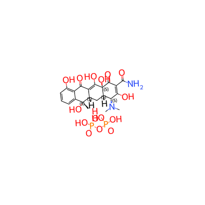 CN(C)[C@@H]1C(O)=C(C(N)=O)C(=O)[C@@]2(O)C(O)=C3C(=O)c4c(O)cccc4[C@@](C)(O)[C@H]3C[C@@H]12.O=P(O)(O)OP(=O)(O)O